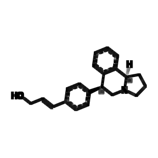 OCC=Cc1ccc([C@@H]2CN3CCC[C@@H]3c3ccccc32)cc1